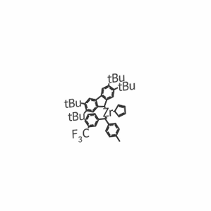 Cc1ccc([C](c2cccc(C(F)(F)F)c2)=[Zr]([CH]2C=CC=C2)[CH]2c3cc(C(C)(C)C)c(C(C)(C)C)cc3-c3cc(C(C)(C)C)c(C(C)(C)C)cc32)cc1